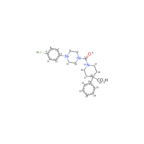 O=C(N1CCN(c2ccc(F)cc2)CC1)N1CCC(C(=O)O)(c2ccccc2)CC1